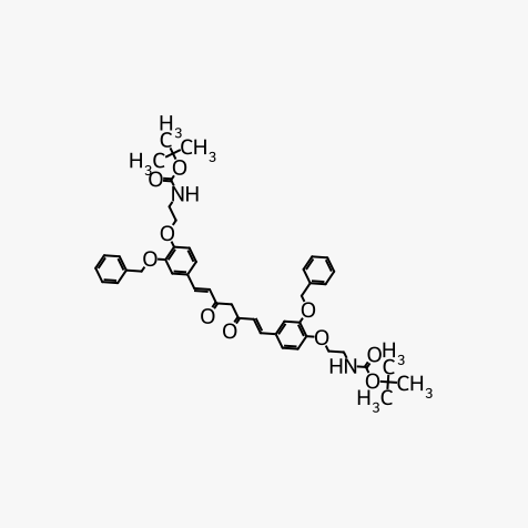 CC(C)(C)OC(=O)NCCOc1ccc(C=CC(=O)CC(=O)C=Cc2ccc(OCCNC(=O)OC(C)(C)C)c(OCc3ccccc3)c2)cc1OCc1ccccc1